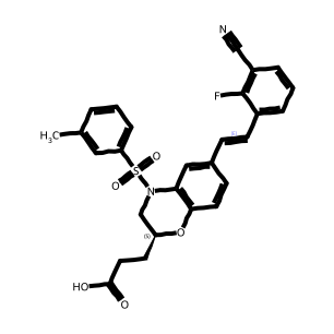 Cc1cccc(S(=O)(=O)N2C[C@H](CCC(=O)O)Oc3ccc(/C=C/c4cccc(C#N)c4F)cc32)c1